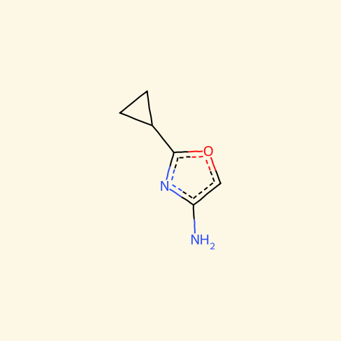 Nc1coc(C2CC2)n1